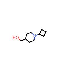 OCC1CCN(C2CCC2)CC1